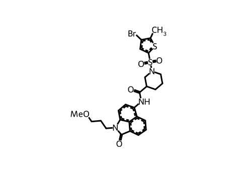 COCCCN1C(=O)c2cccc3c(NC(=O)C4CCCN(S(=O)(=O)c5cc(Br)c(C)s5)C4)ccc1c23